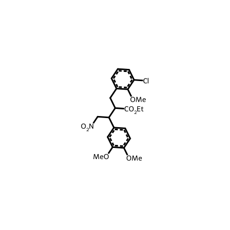 CCOC(=O)C(Cc1cccc(Cl)c1OC)C(C[N+](=O)[O-])c1ccc(OC)c(OC)c1